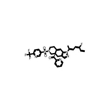 C=C/C(F)=C\C=C(/C)n1ncc2c1C=C1CCN(S(=O)(=O)c3ccc(C(F)(F)F)nc3)C[C@@]1(C(=O)c1ccccn1)C2